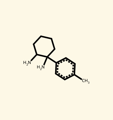 Cc1ccc(C2(N)CCCCC2N)cc1